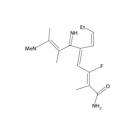 CC\C=C/C(=C\C(F)=C(/C)C(N)=O)C(=N)/C(C)=C(\C)NC